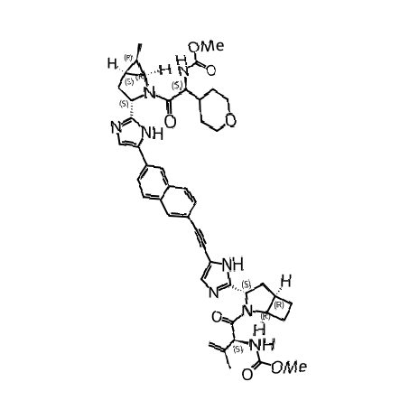 C=C(C)[C@H](NC(=O)OC)C(=O)N1[C@@H]2CC[C@@H]2C[C@H]1c1ncc(C#Cc2ccc3cc(-c4cnc([C@@H]5C[C@H]6[C@@H](C)[C@H]6N5C(=O)[C@@H](NC(=O)OC)C5CCOCC5)[nH]4)ccc3c2)[nH]1